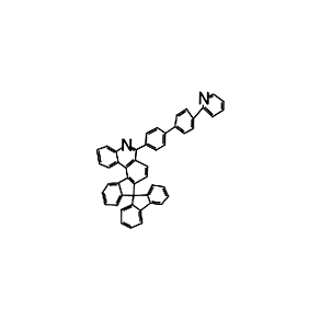 c1ccc(-c2ccc(-c3ccc(-c4nc5ccccc5c5c6c(ccc45)C4(c5ccccc5-c5ccccc54)c4ccccc4-6)cc3)cc2)nc1